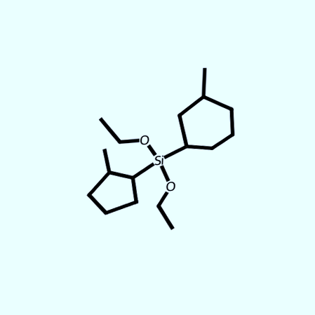 CCO[Si](OCC)(C1CCCC(C)C1)C1CCCC1C